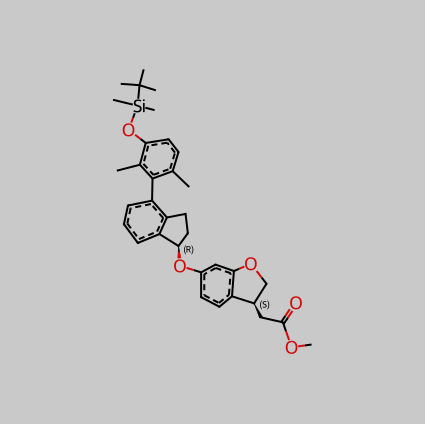 COC(=O)C[C@@H]1COc2cc(O[C@@H]3CCc4c(-c5c(C)ccc(O[Si](C)(C)C(C)(C)C)c5C)cccc43)ccc21